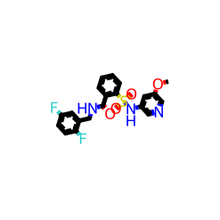 COc1cncc(NS(=O)(=O)c2ccccc2C(=O)NCc2cc(F)ccc2F)c1